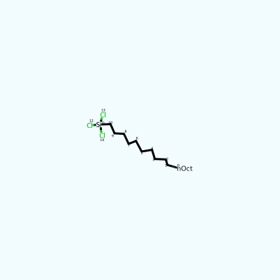 CCCCCCCCCCCCCCCCC[CH][Si](Cl)(Cl)Cl